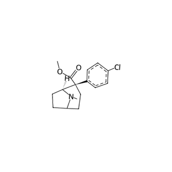 COC(=O)[C@]1(c2ccc(Cl)cc2)CCC2CC[C@@H]1N2C